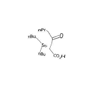 CCCC(=O)CC(=O)O.CCC[CH2][Sn][CH2]CCC